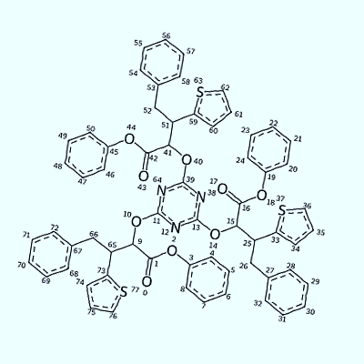 O=C(Oc1ccccc1)C(Oc1nc(OC(C(=O)Oc2ccccc2)C(Cc2ccccc2)c2cccs2)nc(OC(C(=O)Oc2ccccc2)C(Cc2ccccc2)c2cccs2)n1)C(Cc1ccccc1)c1cccs1